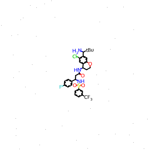 CC(C)(C)C(N)c1cc2c(cc1Cl)C(NC(=O)CC(NS(=O)(=O)c1cccc(C(F)(F)F)c1)c1ccc(F)cc1)CCO2